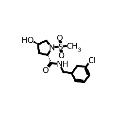 CS(=O)(=O)N1C[C@H](O)C[C@H]1C(=O)NCC1C=CC=C(Cl)C1